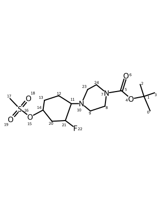 CC(C)(C)OC(=O)N1CCN(C2CCC(OS(C)(=O)=O)CC2F)CC1